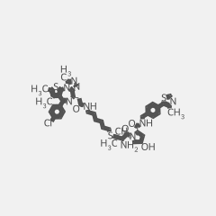 Cc1ncsc1-c1ccc(CNC(=O)[C@@H]2C[C@@H](O)CN2C(=O)[C@@H](N)C(C)(C)SCCCCCCNC(=O)C[C@@H]2N=C(c3ccc(Cl)cc3)c3c(sc(C)c3C)-n3c(C)nnc32)cc1